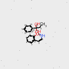 C1=Cc2ccccc2ON1.CCC(O)(O)c1ccccc1